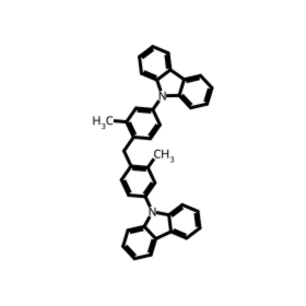 Cc1cc(-n2c3ccccc3c3ccccc32)ccc1Cc1ccc(-n2c3ccccc3c3ccccc32)cc1C